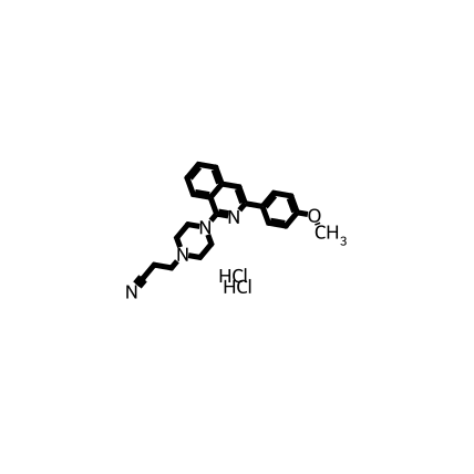 COc1ccc(-c2cc3ccccc3c(N3CCN(CCC#N)CC3)n2)cc1.Cl.Cl